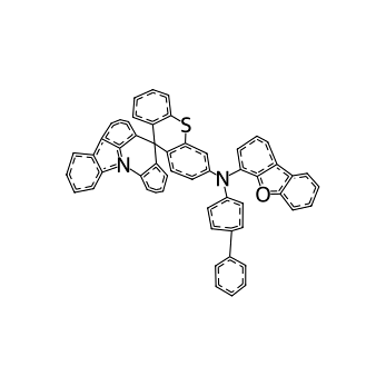 c1ccc(-c2ccc(N(c3ccc4c(c3)Sc3ccccc3C43c4ccccc4-n4c5ccccc5c5cccc3c54)c3cccc4c3oc3ccccc34)cc2)cc1